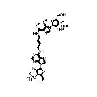 C=Nc1c(/C(=N\C)NC/C=C/CNc2ncnc3c2ncn3[C@@H]2OC(CO)[C@@H](O[PH](=O)S)[C@H]2F)ncn1[C@@H]1O[C@H](CO)[C@@H](O[PH](=O)S)[C@H]1F